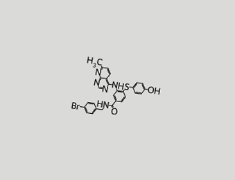 Cc1ccc2c(Nc3cc(C(=O)NCc4ccc(Br)cc4)ccc3Sc3ccc(O)cc3)ncnc2n1